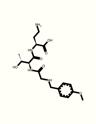 COc1ccc(CNCC(=O)N[C@H](C(=O)N[C@@H](CCN)C(=O)O)[C@@H](C)O)cc1